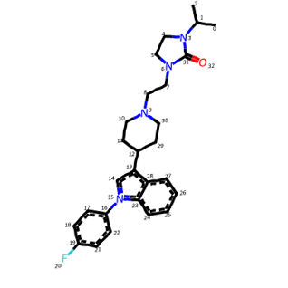 CC(C)N1CCN(CCN2CCC(c3cn(-c4ccc(F)cc4)c4ccccc34)CC2)C1=O